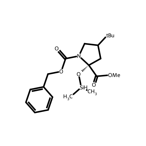 COC(=O)[C@]1(O[SiH](C)C)CC(C(C)(C)C)CN1C(=O)OCc1ccccc1